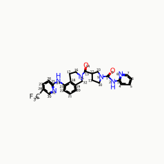 O=C(Nc1ccccn1)N1CCC(C(=O)N2CCc3c(cccc3Nc3ccc(C(F)(F)F)cn3)C2)C1